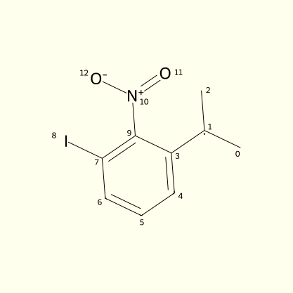 C[C](C)c1cccc(I)c1[N+](=O)[O-]